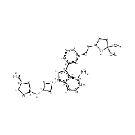 CC1(C)CCC(COc2cccc(-c3cn([C@H]4C[C@@H](CN5CC[C@@H](O)C5)C4)c4ncnc(N)c34)c2)O1